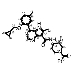 CCC(=O)N1CC[C@H](NC(=O)c2c(C)[nH]c3c(-c4cc(C)ccc4OCC4CC4)ncnc23)[C@@H](F)C1